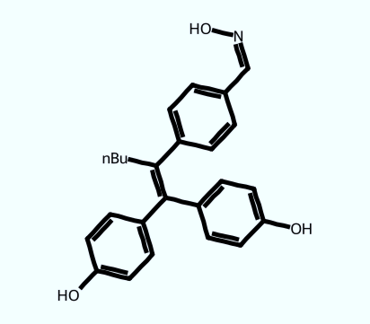 CCCCC(=C(c1ccc(O)cc1)c1ccc(O)cc1)c1ccc(/C=N\O)cc1